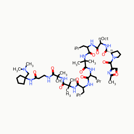 CCCCCCCCC(NC(=O)[C@@H]1CCCN1C(=O)c1coc(C)n1)C(=O)NC(CC(C)C)C(=O)NC(C)(C)C(=O)NC(CC(C)C)C(=O)NC(CC(C)C)C(=O)NC(C)(C)C(=O)NC(C)(C)C(=O)NCCC(=O)NC1(CN(C)C)CCCC1